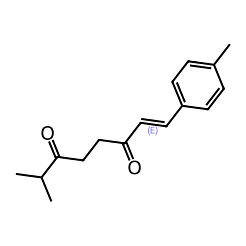 Cc1ccc(/C=C/C(=O)CCC(=O)C(C)C)cc1